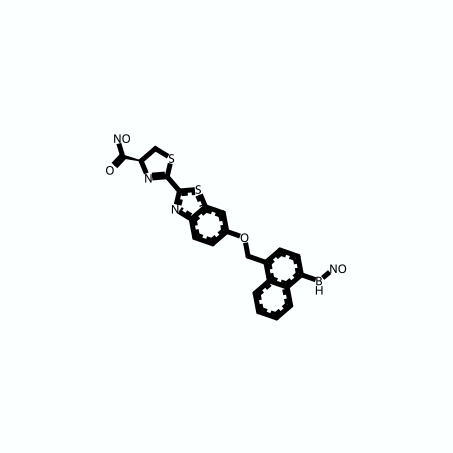 O=NBc1ccc(COc2ccc3nc(C4=N[C@@H](C(=O)N=O)CS4)sc3c2)c2ccccc12